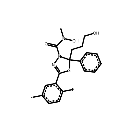 CN(O)C(=O)N1N=C(c2cc(F)ccc2F)SC1(CCCO)c1ccccc1